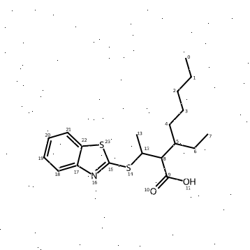 CCCCCC(CC)C(C(=O)O)C(C)Sc1nc2ccccc2s1